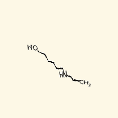 C=CCNCCCCCCO